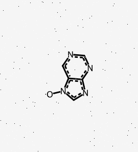 [O]n1cnc2ncncc21